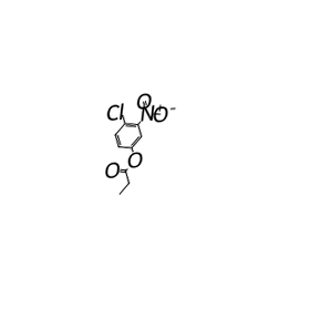 CCC(=O)Oc1ccc(Cl)c([N+](=O)[O-])c1